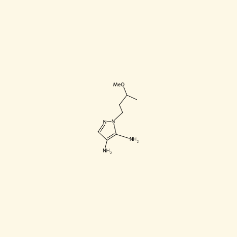 COC(C)CCn1ncc(N)c1N